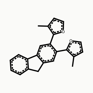 Cc1ccoc1-c1[c]c2c(cc1-c1occc1C)-c1ccccc1C2